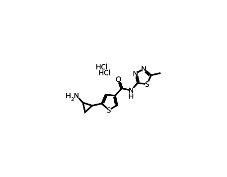 Cc1nnc(NC(=O)c2csc(C3CC3N)c2)s1.Cl.Cl